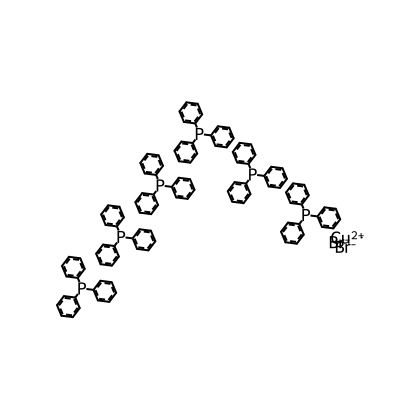 [Br-].[Br-].[Cu+2].c1ccc(P(c2ccccc2)c2ccccc2)cc1.c1ccc(P(c2ccccc2)c2ccccc2)cc1.c1ccc(P(c2ccccc2)c2ccccc2)cc1.c1ccc(P(c2ccccc2)c2ccccc2)cc1.c1ccc(P(c2ccccc2)c2ccccc2)cc1.c1ccc(P(c2ccccc2)c2ccccc2)cc1